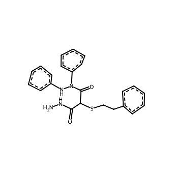 NNC(=O)C(SCCc1ccccc1)C(=O)N(Nc1ccccc1)c1ccccc1